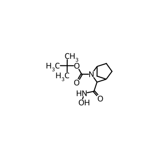 CC(C)(C)OC(=O)N1C2CCC(C2)C1C(=O)NO